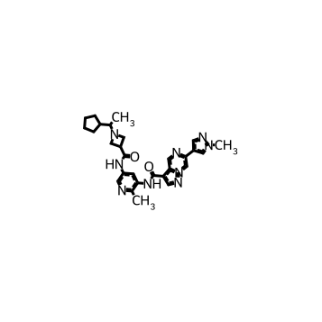 Cc1ncc(NC(=O)C2CN(C(C)C3CCCC3)C2)cc1NC(=O)c1cnn2cc(-c3cnn(C)c3)ncc12